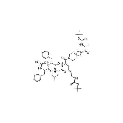 CC(C)C[C@@H](NC(=O)[C@@H](Cc1ccccc1)NC(=O)[C@@H](Cc1ccccc1)NC(=O)O)C(=O)N[C@H](CCCCNC(=O)OC(C)(C)C)C(=O)N1CCC2(CC1)CN(C(=O)[C@@H](C)NC(=O)OC(C)(C)C)C2